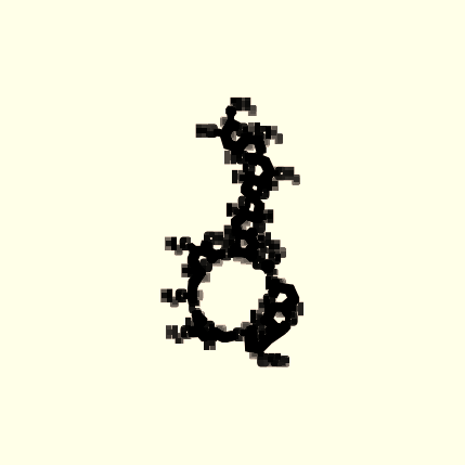 C=C1C[C@@H]2CC[C@]34C[C@@H](OC)C(O3)C3O[C@H]5CC[C@H](CC(=O)O[C@@H]6[C@@H](C)[C@@H]7O[C@@H]8C[C@]9(C[C@@H]%10O[C@]%11(C[C@H](C)[C@@H]%12O[C@H](CN)[C@H](O)C[C@@H]%12O%11)C[C@H](C)[C@@H]%10O9)O[C@@H]8C[C@@H]7O[C@H]6C[C@H]6O[C@@H](C[C@H](C)C[C@@H]1O2)C[C@@H](C)C6=C)O[C@@H]5[C@H](O4)C3C